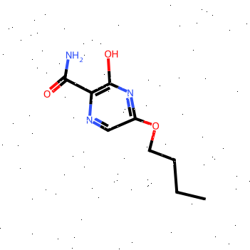 CCCCOc1cnc(C(N)=O)c(O)n1